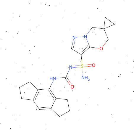 N[S@](=O)(=NC(=O)Nc1c2c(cc3c1CCC3)CCC2)c1cnn2c1OCC1(CC1)C2